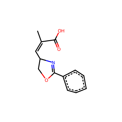 CC(=CC1COC(c2ccccc2)=N1)C(=O)O